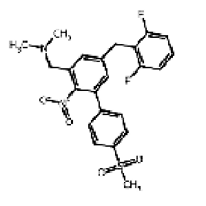 CN(C)Cc1[c]c(Cc2c(F)cccc2F)cc(-c2ccc(S(C)(=O)=O)cc2)c1[N+](=O)[O-]